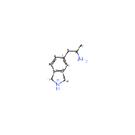 CC(N)Cc1ccc2c(c1)CNC2